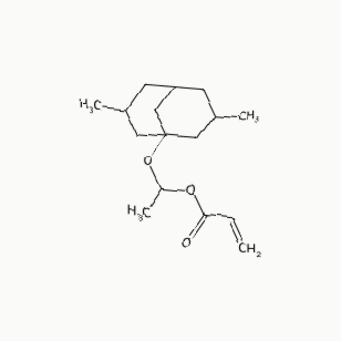 C=CC(=O)OC(C)OC12CC(C)CC(CC(C)C1)C2